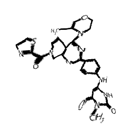 CC1COCCN1c1nc(-c2ccc(Nc3cc(=O)n(C)c(=O)[nH]3)cc2)nc2c1CCN(C(=O)c1nccs1)C2